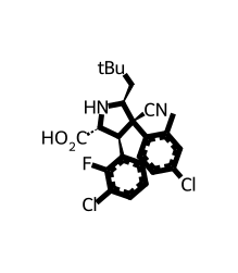 Cc1cc(Cl)ccc1[C@@]1(C#N)[C@H](CC(C)(C)C)N[C@@H](C(=O)O)[C@@H]1c1cccc(Cl)c1F